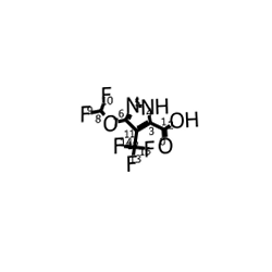 O=C(O)c1[nH]nc(OC(F)F)c1C(F)(F)F